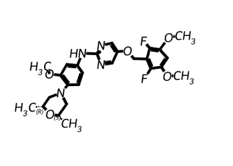 COc1cc(Nc2ncc(OCc3c(F)c(OC)cc(OC)c3F)cn2)ccc1N1C[C@@H](C)O[C@@H](C)C1